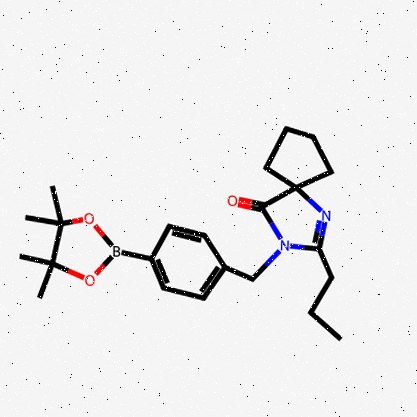 CCCC1=NC2(CCCC2)C(=O)N1Cc1ccc(B2OC(C)(C)C(C)(C)O2)cc1